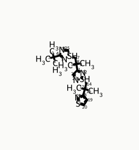 CC(C)(C)C1=N[SH](CC(C)(C)C2=N[SH](CC(C)(C)c3ccsn3)N=C2)C=N1